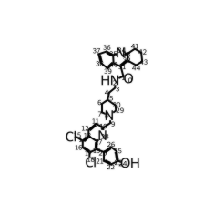 O=C(NCCC1CCN(Cc2ccc3c(Cl)cc(Cl)c(-c4ccc(O)cc4)c3n2)CC1)c1c2c(nc3ccccc13)CCCC2